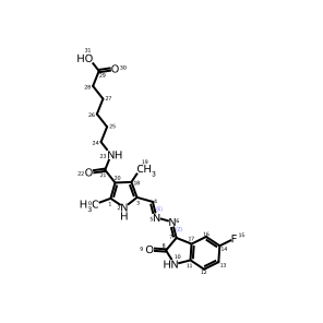 Cc1[nH]c(/C=N/N=C2\C(=O)Nc3ccc(F)cc32)c(C)c1C(=O)NCCCCCC(=O)O